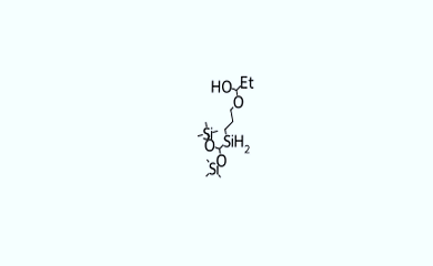 [CH2]CC(O)OCCC[SiH2]C(O[Si](C)(C)C)O[Si](C)(C)C